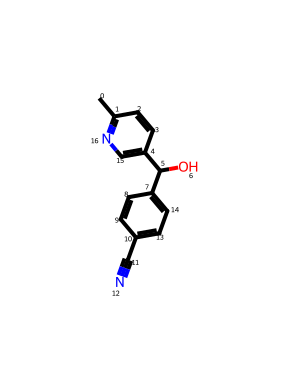 Cc1ccc(C(O)c2ccc(C#N)cc2)cn1